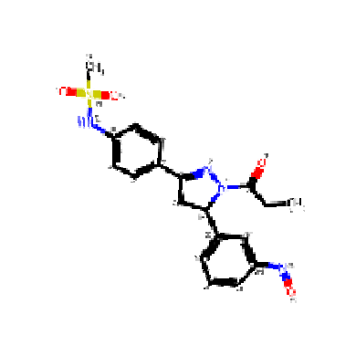 CCC(=O)N1N=C(c2ccc(NS(C)(=O)=O)cc2)CC1c1cccc(N=O)c1